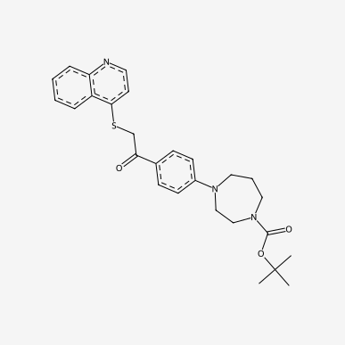 CC(C)(C)OC(=O)N1CCCN(c2ccc(C(=O)CSc3ccnc4ccccc34)cc2)CC1